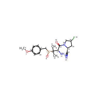 COc1ccc(C[S+]([O-])C(C)(C)[C@H](N)C(=O)N2CC(F)C[C@H]2C#N)cc1